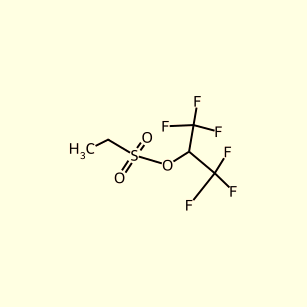 CCS(=O)(=O)OC(C(F)(F)F)C(F)(F)F